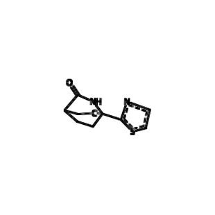 O=C1NC2(c3nccs3)CCC1CC2